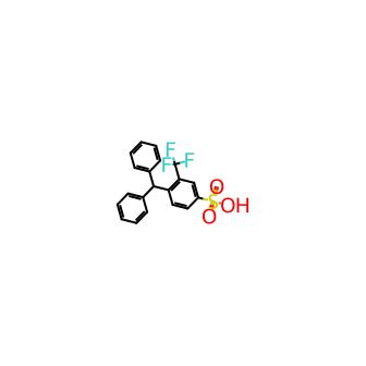 O=S(=O)(O)c1ccc(C(c2ccccc2)c2ccccc2)c(C(F)(F)F)c1